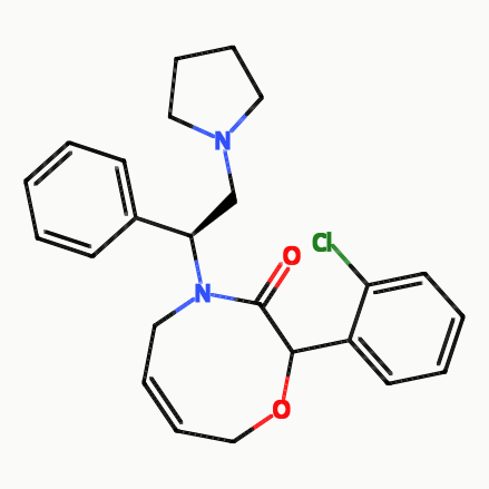 O=C1C(c2ccccc2Cl)OCC=CCN1[C@H](CN1CCCC1)c1ccccc1